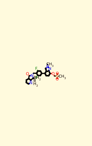 BC1(B)c2ncccc2C(=O)N1Cc1c(F)cc(-c2ccc(OCS(C)(=O)=O)c3nn(C)cc23)cc1F